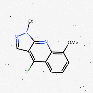 CCn1ncc2c(Cl)c3cccc(OC)c3nc21